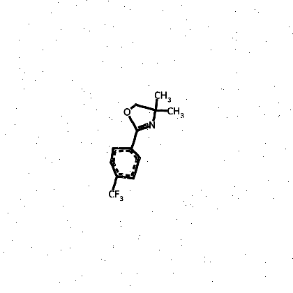 CC1(C)COC(c2ccc(C(F)(F)F)cc2)=N1